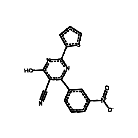 N#Cc1c(O)nc(-c2cccs2)nc1-c1cccc([N+](=O)[O-])c1